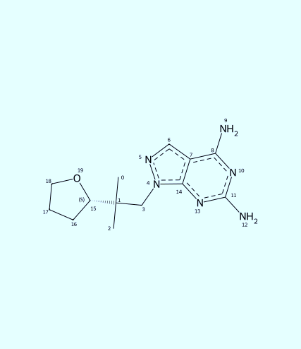 CC(C)(Cn1ncc2c(N)nc(N)nc21)[C@@H]1CCCO1